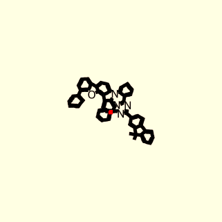 CC1(C)c2ccccc2-c2ccc(-c3nc(-c4ccccc4)nc(-c4ccccc4-n4c5ccccc5c5c6oc7c(-c8ccccc8)cccc7c6ccc54)n3)cc21